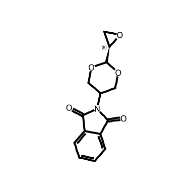 O=C1c2ccccc2C(=O)N1C1COC([C@H]2CO2)OC1